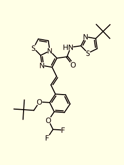 CC(C)(C)COc1c(C=Cc2nc3sccn3c2C(=O)Nc2nc(C(C)(C)C)cs2)cccc1OC(F)F